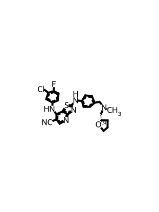 CN(Cc1ccc(Nc2nc3ncc(C#N)c(Nc4ccc(F)c(Cl)c4)c3s2)cc1)C[C@@H]1CCCO1